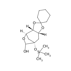 C[Si](C)(C)O[C@@]12C[C@@H](OC1O)[C@@H]1OC3(CCCCC3)O[C@@H]1C2